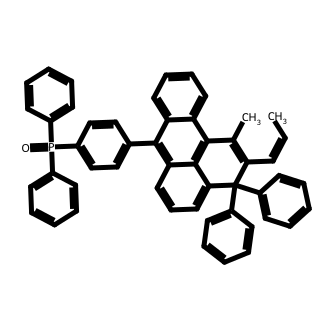 C/C=C\C1=C(C)c2c3ccccc3c(-c3ccc(P(=O)(c4ccccc4)c4ccccc4)cc3)c3cccc(c23)C1(c1ccccc1)c1ccccc1